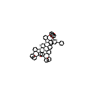 c1ccc(-c2cc(-c3cccc(-c4c(-n5c6cccc(-c7ccccc7)c6c6c(-c7ccccc7)cccc65)cnc(-n5c6cccc(-c7ccccc7)c6c6c(-c7ccccc7)cccc65)c4-n4c5cccc(-c6ccccc6)c5c5c(-c6ccccc6)cccc54)c3)nc(-c3ccccc3)n2)cc1